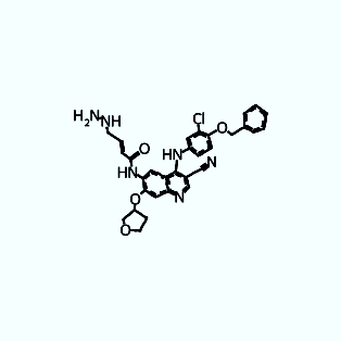 N#Cc1cnc2cc(OC3CCOC3)c(NC(=O)/C=C/CNN)cc2c1Nc1ccc(OCc2ccccc2)c(Cl)c1